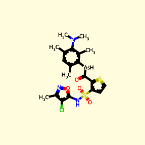 Cc1cc(C)c(N(C)C)c(C)c1[AsH]C(=O)c1sccc1S(=O)(=O)Nc1onc(C)c1Cl